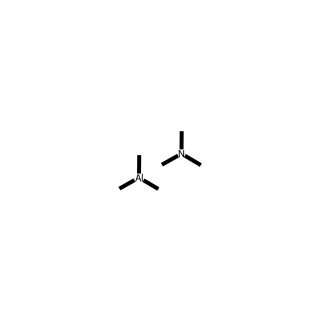 CN(C)C.[CH3][Al]([CH3])[CH3]